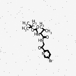 CC(C)C(NC(=O)OC(C)(C)C)C(=O)NCC(=O)c1ccc(Br)cn1